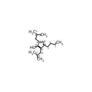 CCCCc1nn(CC(C)C)c(O)c1CC(C)C